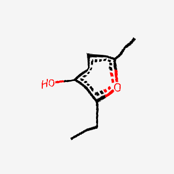 CCc1oc(C)cc1O